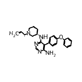 C=C[CH]N1CCC[C@H](Nc2ncnc(N)c2-c2ccc(Oc3ccccc3)cc2)C1